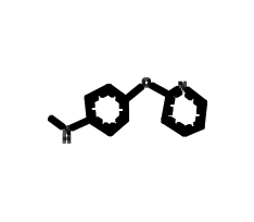 CNc1ccc(Oc2ccccn2)cc1